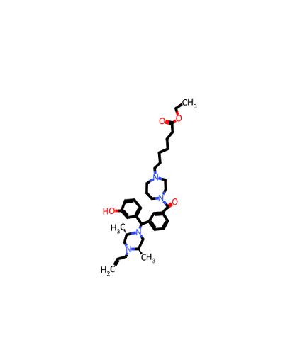 C=CCN1C[C@H](C)N(C(c2cccc(O)c2)c2cccc(C(=O)N3CCCN(CCCCCCC(=O)OCC)CC3)c2)C[C@H]1C